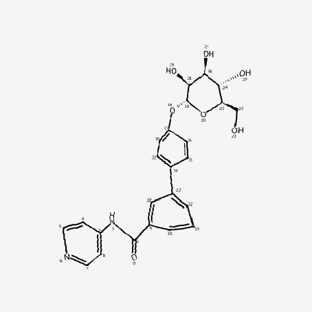 O=C(Nc1ccncc1)c1cccc(-c2ccc(O[C@H]3O[C@H](CO)[C@@H](O)[C@H](O)[C@@H]3O)cc2)c1